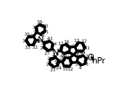 CCCOc1ccc2c(c1)C1(c3ccccc3-c3ccc(N(c4ccccc4)c4ccc(-n5c6ccccc6c6ccccc65)cc4)cc31)c1cc(C)ccc1-2